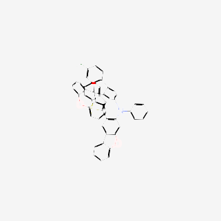 Clc1ccc2c(c1)C1(c3ccccc3Oc3ccccc31)c1cc(N(c3ccccc3)c3cc4oc5ccccc5c4cc3-c3cc4ccccc4s3)ccc1-2